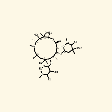 CCO[C@@H](O[C@@H]1[C@@H](C)[C@H](O[C@@H]2CC(C)(OC)C(O)[C@H](C)O2)[C@@H](C)C(=O)O[C@H](CC)[C@@](C)(O)[C@H](O)[C@@H](C)N(C)C[C@H](C)C[C@@]1(C)O)C(O)C(CC)N(C)C